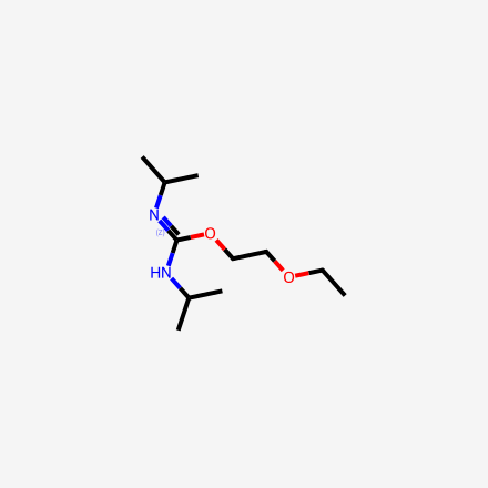 CCOCCO/C(=N\C(C)C)NC(C)C